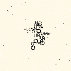 C=CC(=O)Nc1cc(Nc2cc(N3OCC[C@@H]3c3cccc(Oc4ccccc4)c3)ncn2)c(OC)cc1N1C[C@@H]2C[C@H]1CO2